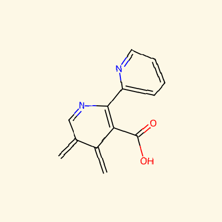 C=c1cnc(-c2ccccn2)c(C(=O)O)c1=C